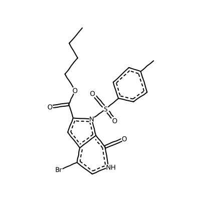 CCCCOC(=O)c1cc2c(Br)c[nH]c(=O)c2n1S(=O)(=O)c1ccc(C)cc1